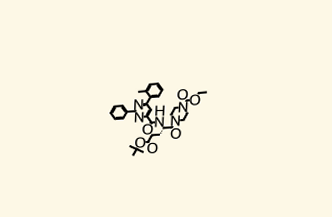 CCOC(=O)N1CCN(C(=O)[C@H](CCC(=O)OC(C)(C)C)NC(=O)c2cc(-c3ccccc3C)nc(-c3ccccc3)n2)CC1